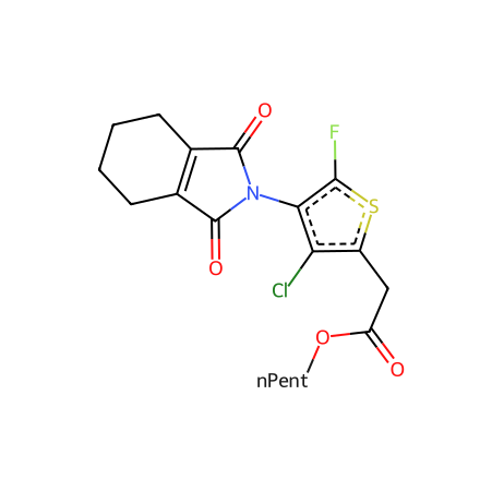 CCCCCOC(=O)Cc1sc(F)c(N2C(=O)C3=C(CCCC3)C2=O)c1Cl